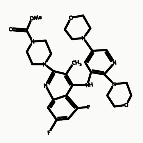 COC(=O)N1CCN(c2nc3cc(F)cc(F)c3c(Nc3cc(N4CCOCC4)cnc3N3CCOCC3)c2C)CC1